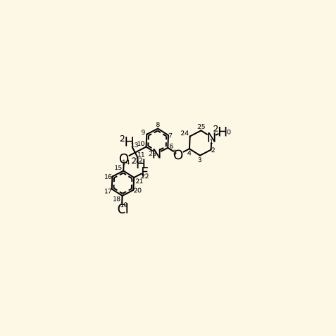 [2H]N1CCC(Oc2cccc(C([2H])([2H])Oc3ccc(Cl)cc3F)n2)CC1